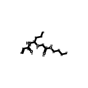 C=CC(=O)NC(CCC)OCC(=O)OCCCC